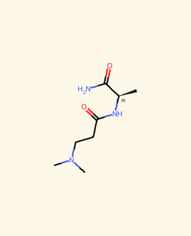 C[C@@H](NC(=O)CCN(C)C)C(N)=O